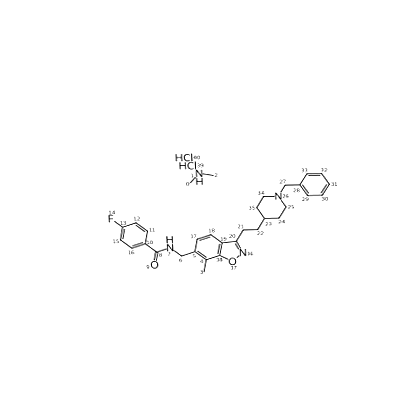 CNC.Cc1c(CNC(=O)c2ccc(F)cc2)ccc2c(CCC3CCN(Cc4ccccc4)CC3)noc12.Cl.Cl